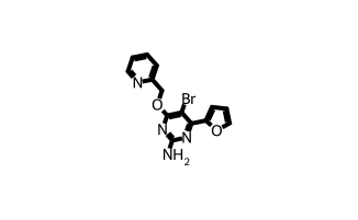 Nc1nc(OCc2ccccn2)c(Br)c(-c2ccco2)n1